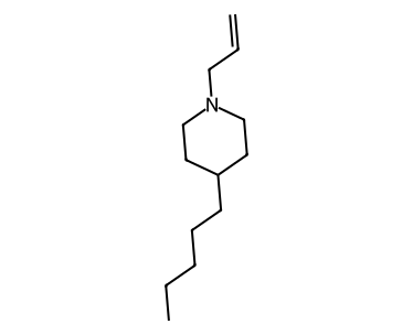 C=CCN1CCC(CCCCC)CC1